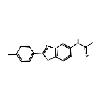 CC(=N)Nc1ccc2sc(-c3ccc(C)cc3)nc2c1